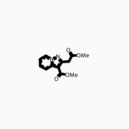 COC(=O)Cc1nn2ccccc2c1C(=O)OC